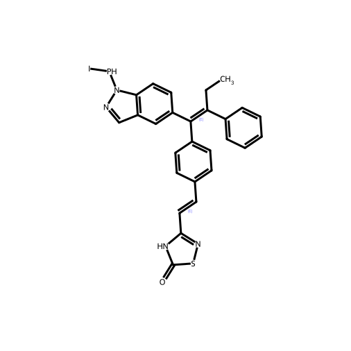 CC/C(=C(/c1ccc(/C=C/c2nsc(=O)[nH]2)cc1)c1ccc2c(cnn2PI)c1)c1ccccc1